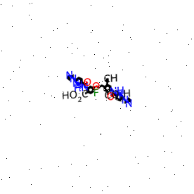 C#Cc1cc(NC(=O)c2ccc(-n3ccnc3)nn2)c(C(=O)O)cc1CCOc1cc(NC(=O)c2ccc(-n3ccnc3)nn2)c(C(=O)O)cc1F